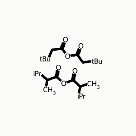 CC(C)(C)CC(=O)OC(=O)CC(C)(C)C.CC(C)C(C)C(=O)OC(=O)C(C)C(C)C